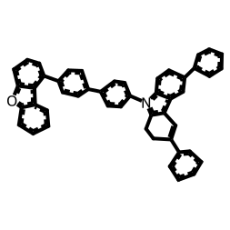 C1=C(c2ccccc2)CCc2c1c1cc(-c3ccccc3)ccc1n2-c1ccc(-c2ccc(-c3cccc4oc5ccccc5c34)cc2)cc1